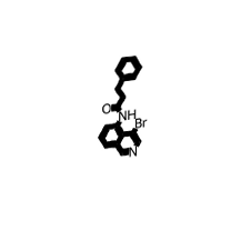 O=C(CCc1ccccc1)Nc1cccc2cncc(Br)c12